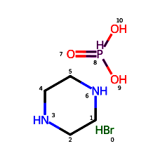 Br.C1CNCCN1.O=[PH](O)O